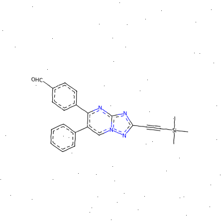 C[Si](C)(C)C#Cc1nc2nc(-c3ccc(C=O)cc3)c(-c3ccccc3)cn2n1